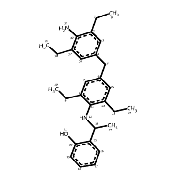 CCc1cc(Cc2cc(CC)c(NC(C)c3ccccc3O)c(CC)c2)cc(CC)c1N